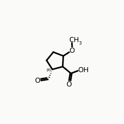 COC1CC[C@@H](C=O)C1C(=O)O